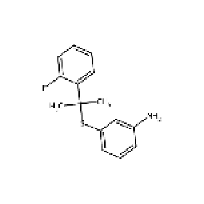 CC(C)(Sc1cccc(N)c1)c1ccccc1F